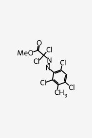 COC(=O)C(Cl)(Cl)/N=N/c1c(Cl)cc(Cl)c(C)c1Cl